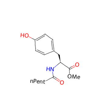 CCCCCC(=O)N[C@@H](Cc1ccc(O)cc1)C(=O)OC